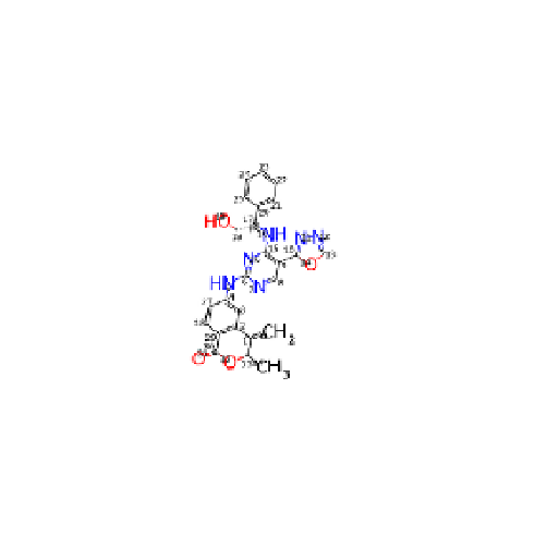 C=C1c2cc(Nc3ncc(-c4nnco4)c(N[C@H](CO)c4ccccc4)n3)ccc2C(=O)OC1C